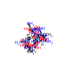 CC[C@H](C)[C@H](NC(=O)[C@H](CCCNC(=N)N)NC(=O)[C@H](CC(C)C)NC(=O)[C@H](CC(N)=O)NC(=O)CNC(=O)[C@H](CCSC)NC(=O)CNC(=O)[C@H](CC(=O)O)NC(=O)[C@@H](NC(=O)[C@@H](NC(=O)[C@H](Cc1ccccc1)NC(=O)[C@@H](N)CC(N)=O)[C@@H](C)O)[C@@H](C)CC)C(=O)N[C@H](C(=O)N[C@@H](CCC(=O)O)C(=O)N[C@@H](CCCCN)C(=O)O)[C@@H](C)O